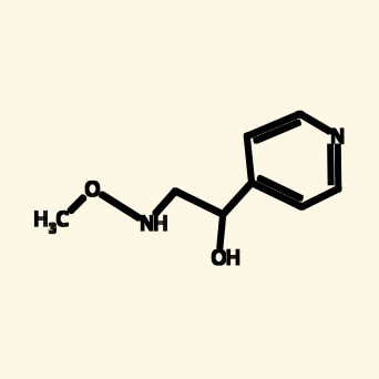 CONCC(O)c1ccncc1